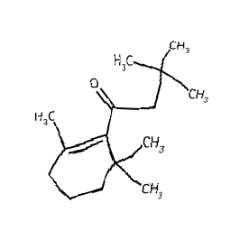 CC1=C(C(=O)CC(C)(C)C)C(C)(C)CCC1